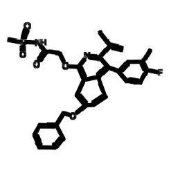 C=C(C)c1nc(OCC(=O)NS(C)(=O)=O)c2cc(OCc3ccccc3)ccc2c1-c1ccc(F)c(C)c1